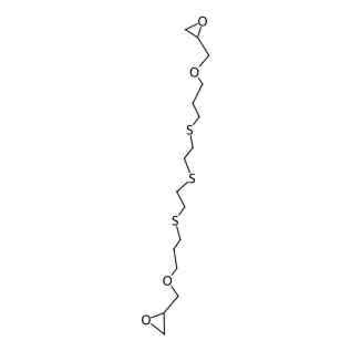 C(COCC1CO1)CSCCSCCSCCCOCC1CO1